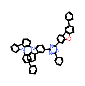 c1ccc(-c2ccc(-n3c4ccccc4c4cccc(-n5c6ccccc6c6cc(-c7nc(-c8ccccc8)nc(-c8ccc9c(c8)oc8ccc(-c%10ccccc%10)cc89)n7)ccc65)c43)cc2)cc1